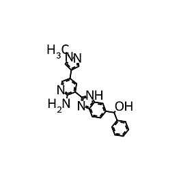 Cn1cc(-c2cnc(N)c(-c3nc4ccc(C(O)c5ccccc5)cc4[nH]3)c2)cn1